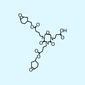 O=C(O)CCN1C(=O)N(CCCC(=O)OCC2CCC3OC3C2)C(=O)N(CCCC(=O)OCC2CCC3OC3C2)C2OC21